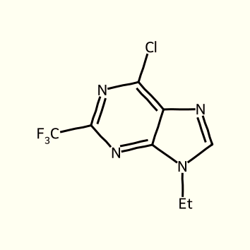 CCn1cnc2c(Cl)nc(C(F)(F)F)nc21